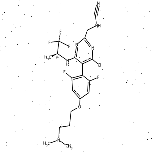 C[C@H](Nc1nc(CNC#N)nc(Cl)c1-c1c(F)cc(OCCCN(C)C)cc1F)C(F)(F)F